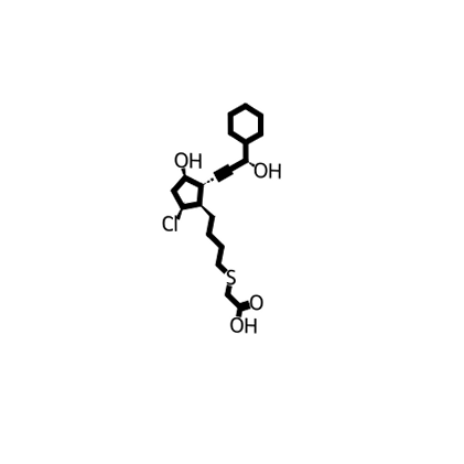 O=C(O)CSCCCC[C@@H]1[C@@H](C#C[C@@H](O)C2CCCCC2)[C@H](O)C[C@@H]1Cl